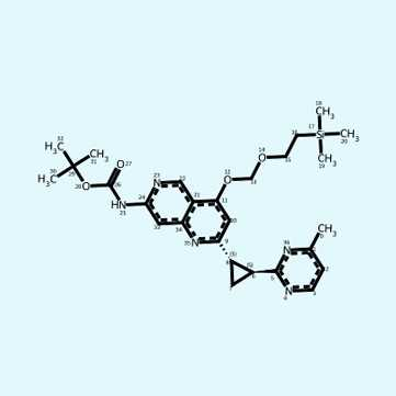 Cc1ccnc([C@H]2C[C@@H]2c2cc(OCOCC[Si](C)(C)C)c3cnc(NC(=O)OC(C)(C)C)cc3n2)n1